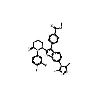 COC(=O)c1ccc(-c2c(C3CCCC(=O)N3c3ccc(F)c(F)c3)nc3cc(-c4c(C)noc4C)ccn23)cc1